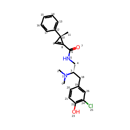 CN(C)[C@H](CNC(=O)C1=C[C@]1(C)c1ccccc1)Cc1ccc(O)c(Cl)c1